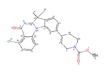 CC(C)(C)OC(=O)N1CC=C(c2ccc3c(c2)-n2c(nc(=O)c4c(Cl)cccc42)C3(C)C)CC1